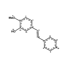 COc1ccc(C=Cc2ccncc2)cc1O